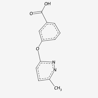 Cc1ccc(Oc2cccc(C(=O)O)c2)nn1